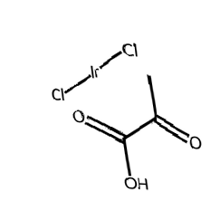 CC(=O)C(=O)O.[Cl][Ir][Cl]